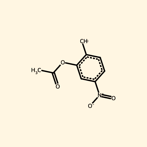 [CH]c1ccc([N+](=O)[O-])cc1OC(C)=O